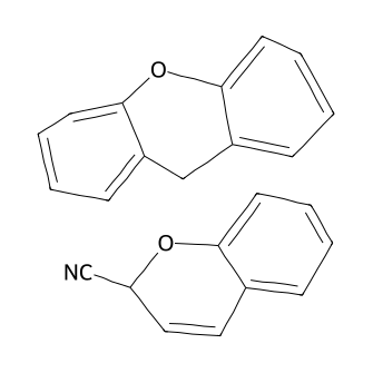 N#CC1C=Cc2ccccc2O1.c1ccc2c(c1)Cc1ccccc1O2